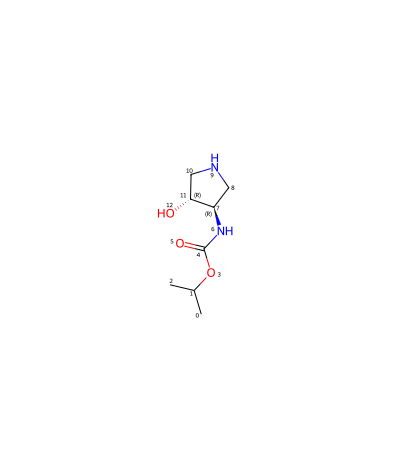 CC(C)OC(=O)N[C@@H]1CNC[C@H]1O